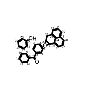 O=C(c1ccccc1)c1ccccc1.Oc1ccccc1.c1cc2c3c(cccc3c1)C1OC1C2